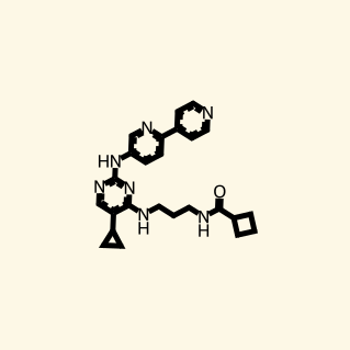 O=C(NCCCNc1nc(Nc2ccc(-c3ccncc3)nc2)ncc1C1CC1)C1CCC1